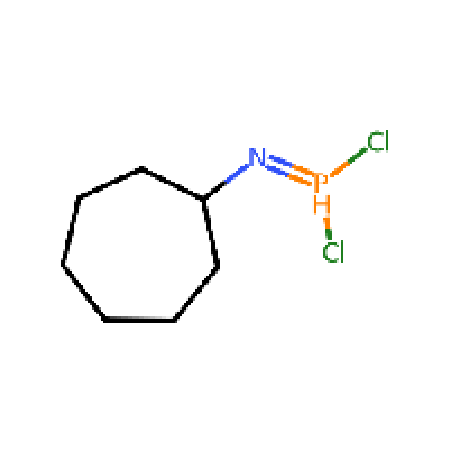 Cl[PH](Cl)=NC1CCCCCC1